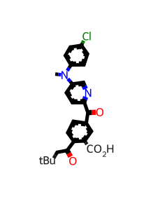 CN(c1ccc(Cl)cc1)c1ccc(C(=O)c2ccc(C(=O)CC(C)(C)C)c(C(=O)O)c2)nc1